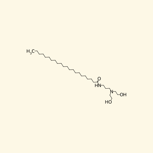 CCCCCCCCCCCCCCCCCCCCCC(=O)NCCCN(CCO)CCO